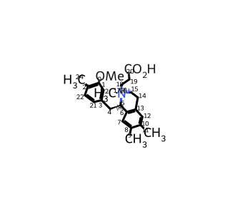 COc1cc(C[C@@H]2c3cc(C)c(C)cc3CC[N@+]2(C)CCC(=O)O)ccc1C